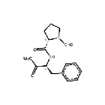 COC(=O)[C@H](Cc1ccccc1)NC(=O)[C@@H]1CCCN1C=O